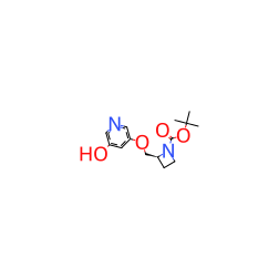 CC(C)(C)OC(=O)N1CC[C@H]1COc1cncc(O)c1